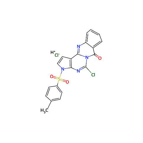 Cc1ccc(S(=O)(=O)n2ccc3c2nc(Cl)n2c(=O)c4ccccc4nc32)cc1.[Cl-].[H+]